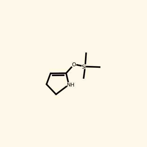 C[Si](C)(C)OC1=CCCN1